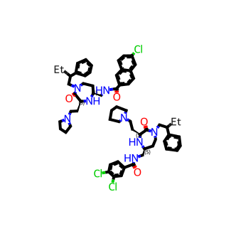 CCC(CN1CC[C@@H](CNC(=O)c2ccc(Cl)c(Cl)c2)N[C@@H](CCN2CCCCC2)C1=O)c1ccccc1.CCC(CN1CC[C@@H](CNC(=O)c2ccc3cc(Cl)ccc3c2)N[C@@H](CCN2CCCC2)C1=O)c1ccccc1